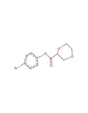 O=C(Oc1ccc(Br)cc1)C1COCCO1